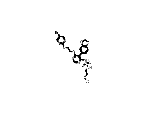 CCOCCNS(=O)(=O)Nc1ncnc(OCCOc2ncc(Br)cn2)c1-c1ccc2c(c1)OCO2